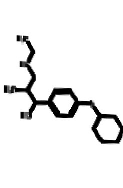 CCNCC(C)C(O)c1ccc(SC2CCCCC2)cc1